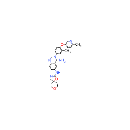 Cc1ccc(Oc2ccc(N3C=Nc4ccc(NC5=NCC6(CCOCC6)O5)cc4C3N)cc2C)cn1